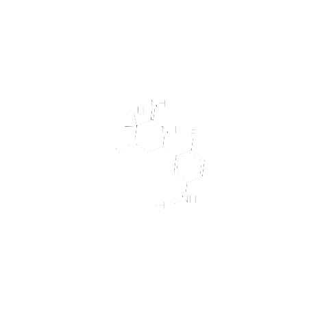 CC1(C)C(=N)NC(c2cc(NC=O)ccc2F)C[S+]1[O-]